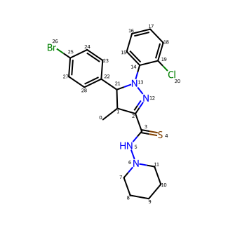 CC1C(C(=S)NN2CCCCC2)=NN(c2ccccc2Cl)C1c1ccc(Br)cc1